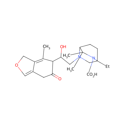 CCC12CCC(N(CC(O)C3C(=O)CC4=COCC4=C3C)C1)C(C)(C)N2C(=O)O